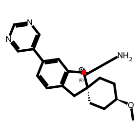 CO[C@H]1CC[C@]2(CC1)Cc1ccc(-c3cncnc3)cc1[C@@]21COC(N)=N1